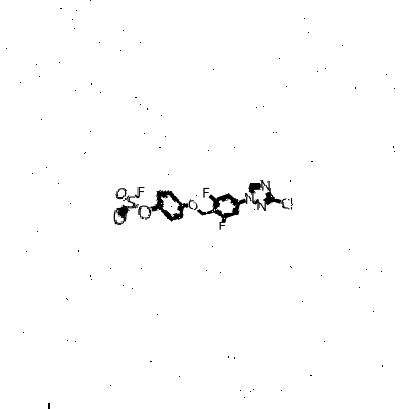 O=S(=O)(F)Oc1ccc(OCc2c(F)cc(-n3cnc(Cl)n3)cc2F)cc1